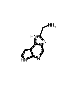 NCc1nc2cnc3[nH]ccc3c2[nH]1